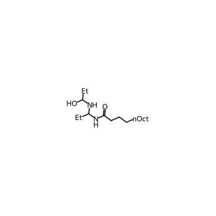 CCCCCCCCCCCC(=O)NC(CC)NC(O)CC